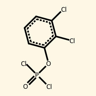 O=P(Cl)(Cl)Oc1cccc(Cl)c1Cl